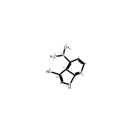 CN(C)c1ccnc2[nH]cc(C#N)c12